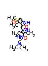 CCN(CC)CCNC(=O)c1c(C)[nH]c(/C=C2\C(=O)Nc3ccc([S+](C)[O-])c(C)c32)c1C